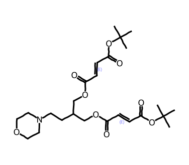 CC(C)(C)OC(=O)/C=C/C(=O)OCC(CCN1CCOCC1)COC(=O)/C=C/C(=O)OC(C)(C)C